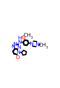 COc1cc(N2CCN(C)CC2)ccc1Nc1nnc2ccc(=O)n(C3CCCC3)c2n1